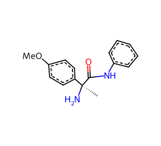 COc1ccc([C@](C)(N)C(=O)Nc2ccccc2)cc1